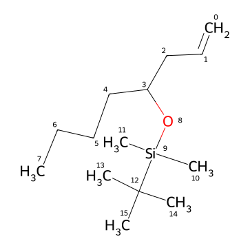 C=CCC(CCCC)O[Si](C)(C)C(C)(C)C